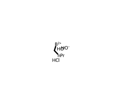 Cl.[B+2]CCCC.[OH-].[OH-]